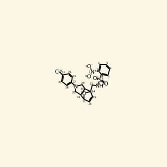 O=[N+]([O-])c1ccccc1S(=O)(=O)NCC12C=CC(O1)C1CN(c3ccc(Cl)cc3)CC12